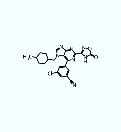 CC1CCC(Cn2cnc3nc(-c4noc(=O)[nH]4)nc(-c4cc(Cl)cc(C#N)c4)c32)CC1